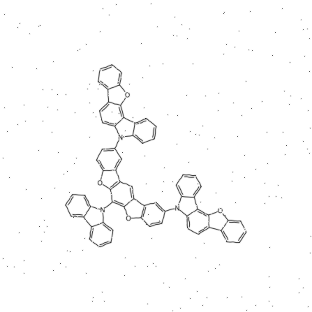 c1ccc2c(c1)oc1c2ccc2c1c1ccccc1n2-c1ccc2oc3c(-n4c5ccccc5c5ccccc54)c4oc5ccc(-n6c7ccccc7c7c8oc9ccccc9c8ccc76)cc5c4cc3c2c1